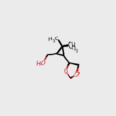 CC1(C)C(CO)C1C1COCO1